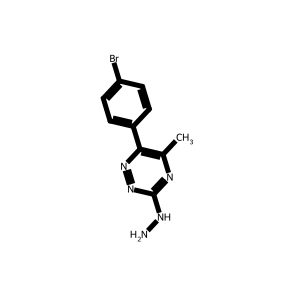 Cc1nc(NN)nnc1-c1ccc(Br)cc1